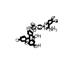 COc1cc2nc(N3CCN(S(=O)(=O)Nc4ccc(-c5c6ccc(=O)cc-6oc6cc(O)ccc56)c(C(=O)O)c4)CC3)nc(N)c2cc1OC